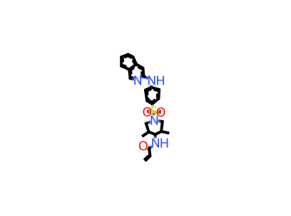 C=CC(=O)NC1C(C)CN(S(=O)(=O)c2ccc(Nc3cc4ccccc4cn3)cc2)CC1C